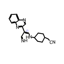 N#CCC1CCC(N/C=C(\C=N)c2cnc3ccccc3n2)CC1